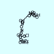 COc1cc2c(cc1OC(C)C)C(c1ccc(Cl)cc1)N(c1ccc(N(C)C[C@H]3CC[C@H](N4CCN(CCCCCc5ccc6c(c5)n(C)c(=O)n6C5CCC(=O)NC5=O)C(=O)C4)CC3)cc1)C(=O)C2